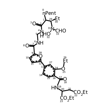 CCCCCC(C(=O)NCNC(=O)c1ccc(-c2ccc(C(=O)NC(CC(=O)OCC)C(=O)OCC)c(OCC)c2)o1)[C@@H](CC)N(O)C=O